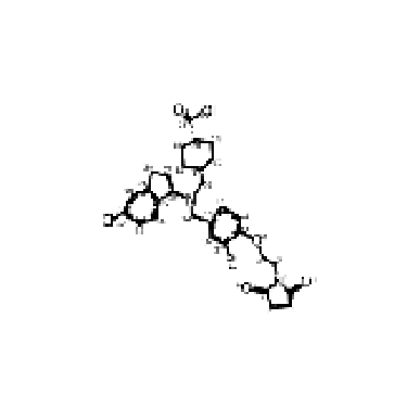 O=C1CCC(=O)N1CCOc1ccc(CN(C[C@H]2CC[C@H](C(=O)O)CC2)C2CCc3cc(Cl)ccc32)cc1Cl